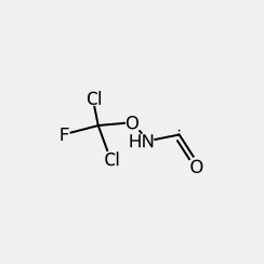 O=[C]NOC(F)(Cl)Cl